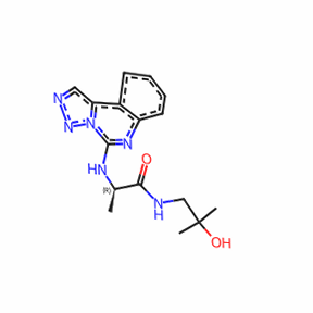 C[C@@H](Nc1nc2ccccc2c2cnnn12)C(=O)NCC(C)(C)O